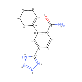 NC(=O)c1ccc(-c2nnn[nH]2)cc1C1=CCCCC1